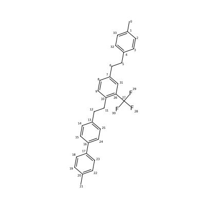 Cc1ccc(CCc2ccc(CCc3ccc(-c4ccc(C)cc4)cc3)c(C(F)(F)F)c2)cc1